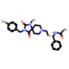 CC(C)C(=O)N[C@@H](CCN1CCC2(CC1)C(=O)N(Cc1ccc(Br)cc1)C(=O)N2C(C)C)c1ccccc1